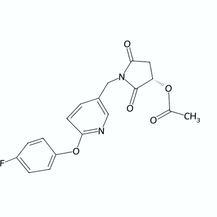 CC(=O)O[C@H]1CC(=O)N(Cc2ccc(Oc3ccc(F)cc3)nc2)C1=O